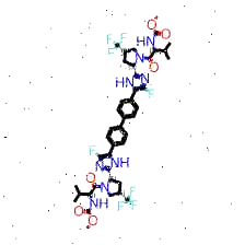 COC(=O)N[C@H](C(=O)N1C[C@@H](C(F)(F)F)C[C@H]1c1nc(F)c(-c2ccc(-c3ccc(-c4[nH]c([C@@H]5C[C@H](C(F)(F)F)CN5C(=O)[C@@H](NC(=O)OC)C(C)C)nc4F)cc3)cc2)[nH]1)C(C)C